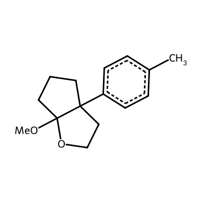 COC12CCCC1(c1ccc(C)cc1)CCO2